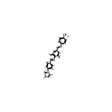 Cc1cc(/N=N/c2ccc(C(F)(F)F)cc2)cc(C)c1/N=N/c1ccc(N2CCCC2)cc1